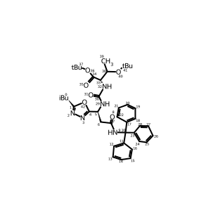 CC[C@H](C)c1nnc([C@H](CC(=O)NC(c2ccccc2)(c2ccccc2)c2ccccc2)NC(=O)N[C@H](C(=O)OC(C)(C)C)C(C)OC(C)(C)C)o1